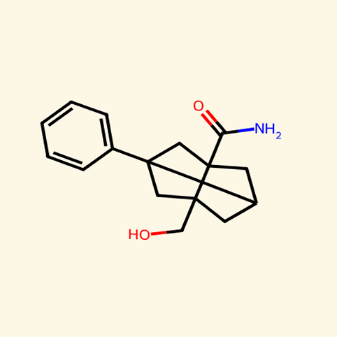 NC(=O)C12CC3CC1(CO)CC3(c1ccccc1)C2